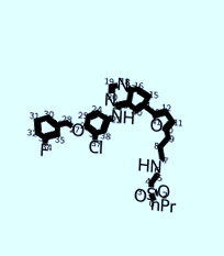 CCCS(=O)(=O)CCNCCCc1ccc(-c2ccc3ncnc(Nc4ccc(OCc5cccc(F)c5)c(Cl)c4)c3c2)o1